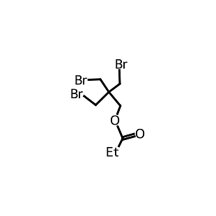 CCC(=O)OCC(CBr)(CBr)CBr